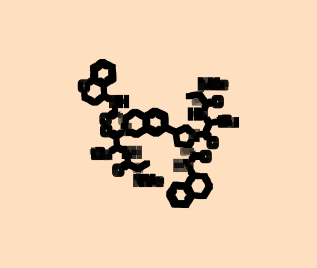 CN[C@@H](C)C(=O)NC(C(=O)N1CC(c2ccc3c(c2)CN(C(=O)C(NC(=O)[C@H](C)NC)C(C)(C)C)[C@H](C(=O)NC2CCOc4ccccc42)C3)C[C@H]1C(=O)NC1CCCc2ccccc21)C(C)(C)C